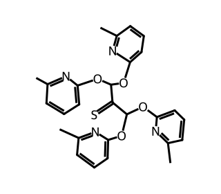 Cc1cccc(OC(Oc2cccc(C)n2)C(=S)C(Oc2cccc(C)n2)Oc2cccc(C)n2)n1